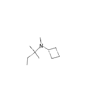 CCC(C)(C)N(C)C1CCC1